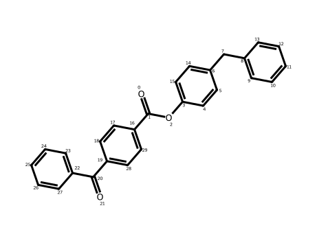 O=C(Oc1ccc(Cc2ccccc2)cc1)c1ccc(C(=O)c2ccccc2)cc1